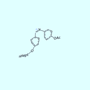 CCCCCCCOc1ccc(/C=N\c2ccc(OC(C)=O)cc2)cc1